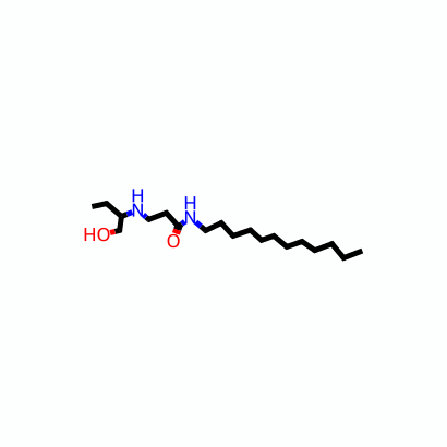 CCCCCCCCCCCCNC(=O)CCNC(CC)CO